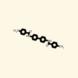 Cc1ccc(C(=O)Nc2ccc(-c3ccc(NC(=O)c4ccc(C)cc4)cc3)cc2)cc1